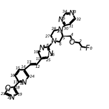 FCCOC[C@H]1CN(c2ncc(/C=C/c3ccc(-c4cnco4)nc3)cn2)CCN1c1ccncn1